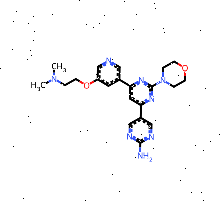 CN(C)CCOc1cncc(-c2cc(-c3cnc(N)nc3)nc(N3CCOCC3)n2)c1